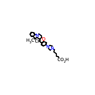 CC1(C)C2=[N+](CCC3Oc4cc(N5CCN(CCCCCC(=O)O)CC5)ccc4C=C23)c2ccccc21